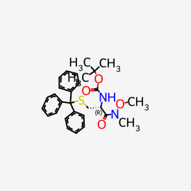 CON(C)C(=O)[C@H](CSC(c1ccccc1)(c1ccccc1)c1ccccc1)NC(=O)OC(C)(C)C